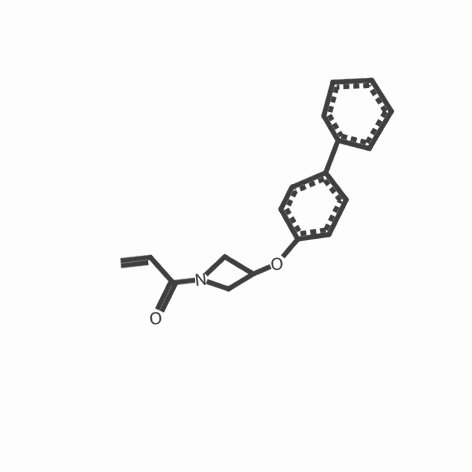 C=CC(=O)N1CC(Oc2ccc(-c3ccccc3)cc2)C1